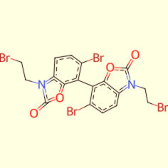 O=c1oc2c(-c3c(Br)ccc4c3oc(=O)n4CCBr)c(Br)ccc2n1CCBr